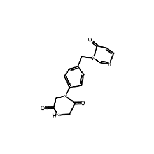 O=C1CN(c2ccc(Cn3cnccc3=O)cc2)C(=O)CN1